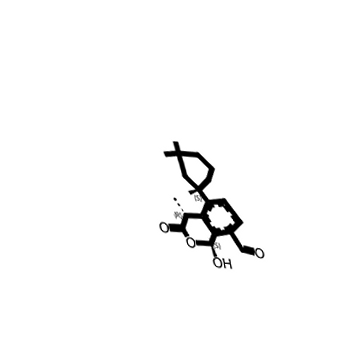 C[C@H]1C(=O)O[C@H](O)c2c(C=O)ccc([C@@]3(C)CCCC(C)(C)C3)c21